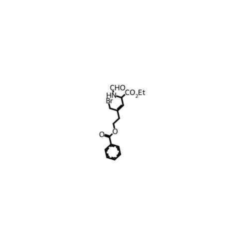 CCOC(=O)C(/C=C(\CBr)CCOC(=O)c1ccccc1)NC=O